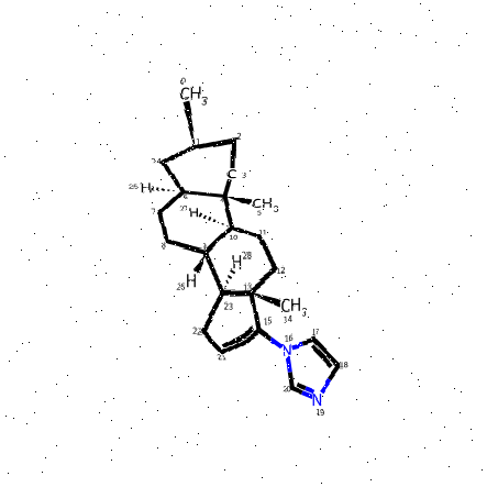 C[C@H]1CC[C@@]2(C)[C@@H](CC[C@@H]3[C@@H]2CC[C@]2(C)C(n4ccnc4)=CC[C@@H]32)C1